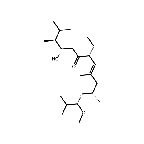 CC[C@H](/C=C(\C)C[C@H](C)C[C@H](OC)C(C)C)C(=O)C[C@H](O)[C@@H](C)C(C)C